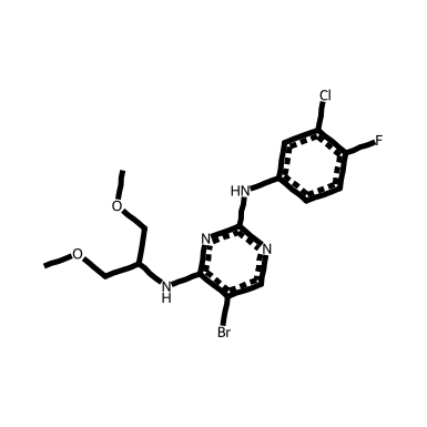 COCC(COC)Nc1nc(Nc2ccc(F)c(Cl)c2)ncc1Br